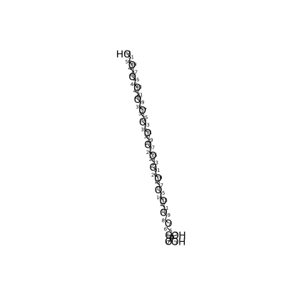 O=P(O)(O)OCCOCCOCCOCCOCCOCCOCCOCCOCCOCCOCCOCCOCCOCCOCCOCCO